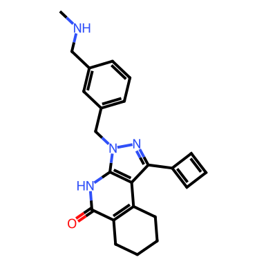 CNCc1cccc(Cn2nc(C3=CC=C3)c3c4c(c(=O)[nH]c32)CCCC4)c1